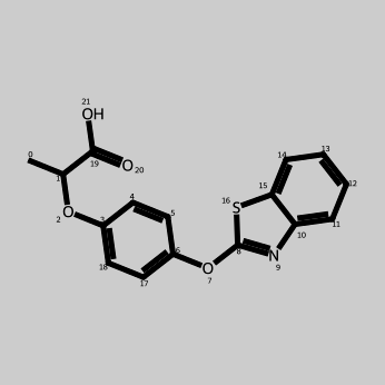 CC(Oc1ccc(Oc2nc3ccccc3s2)cc1)C(=O)O